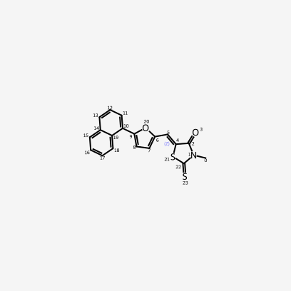 CN1C(=O)/C(=C/c2ccc(-c3cccc4ccccc34)o2)SC1=S